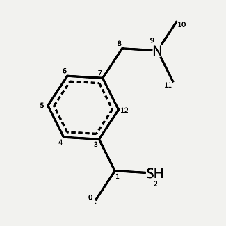 [CH2]C(S)c1cccc(CN(C)C)c1